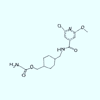 COc1cc(C(=O)NCC2CCC(COC(N)=O)CC2)cc(Cl)n1